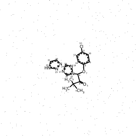 CC(C)(C)C(=O)C(Oc1ccc(Cl)cc1)n1cncn1.c1c[nH]nn1